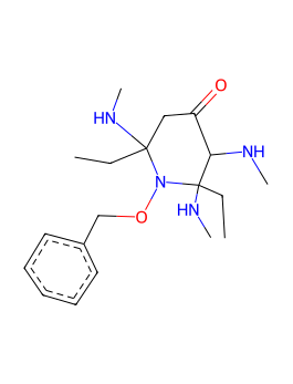 CCC1(NC)CC(=O)C(NC)C(CC)(NC)N1OCc1ccccc1